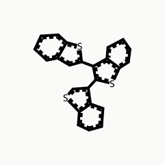 c1ccc2sc(-c3c(-c4csc5ccccc45)sc4ccccc34)cc2c1